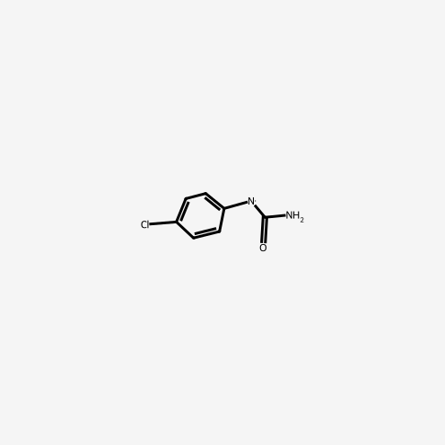 NC(=O)[N]c1ccc(Cl)cc1